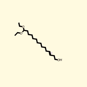 CCOC(CCCCCCCCCC/C=C/CCO)OCC